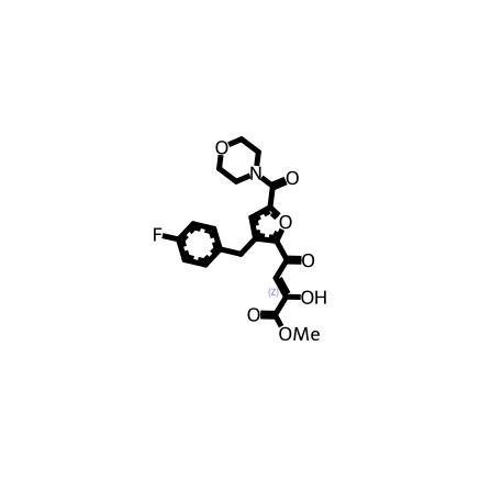 COC(=O)/C(O)=C/C(=O)c1oc(C(=O)N2CCOCC2)cc1Cc1ccc(F)cc1